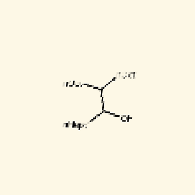 CCCCCCCCC(CCCCCCCC)C(O)CCCCCCC